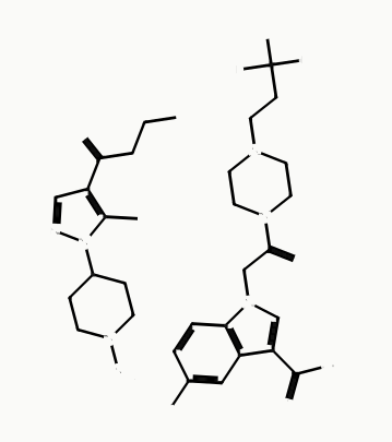 CCCC(=O)c1cnn(C2CCN(N)CC2)c1C.O=C(O)c1cn(CC(=O)N2CCN(CCC(F)(F)F)CC2)c2ccc(Cl)cc12